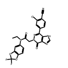 CCN(C(=O)Cn1nc(-c2ccc(C#N)c(Cl)c2)c2[nH]cnc2c1=O)c1ccc2c(c1)OC(F)(F)O2